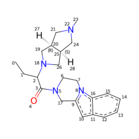 CCC(C(=O)N1CCn2c(cc3ccccc32)C1)N1C[C@H]2CN(C)C[C@H]2C1